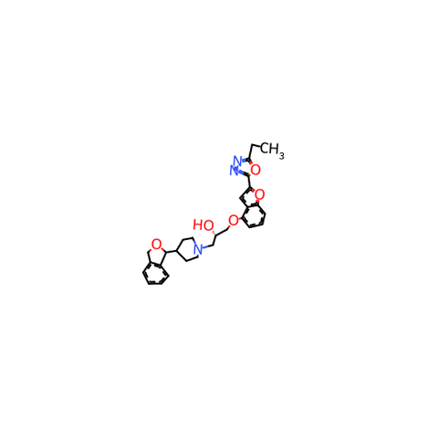 CCc1nnc(-c2cc3c(OC[C@@H](O)CN4CCC(C5OCc6ccccc65)CC4)cccc3o2)o1